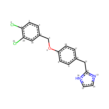 Clc1ccc(COc2ccc(Cc3ncc[nH]3)cc2)cc1Cl